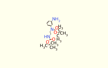 CC(C)(C)OC(=O)NCCN(C(=O)OC(C)(C)C)c1cccc(N)c1